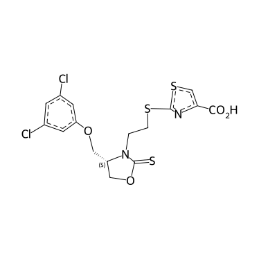 O=C(O)c1csc(SCCN2C(=S)OC[C@@H]2COc2cc(Cl)cc(Cl)c2)n1